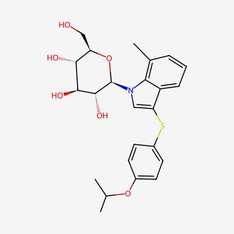 Cc1cccc2c(Sc3ccc(OC(C)C)cc3)cn([C@@H]3O[C@H](CO)[C@@H](O)[C@H](O)[C@H]3O)c12